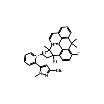 CCC1(CC[n+]2ccccc2-c2cc(C(C)(C)C)nn2C)c2ccc(F)c3c2-c2c4c(cccc4cc[n+]2C1(C)CC)C3(C)C